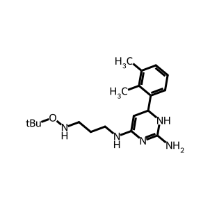 Cc1cccc(C2C=C(NCCCNOC(C)(C)C)N=C(N)N2)c1C